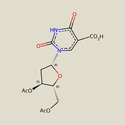 CC(=O)OC[C@H]1O[C@@H](n2cc(C(=O)O)c(=O)[nH]c2=O)C[C@@H]1OC(C)=O